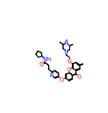 Cc1cc(OCCN2CC(C)N(C)C(C)C2)c2oc3cc(Oc4ccc(CCC(=O)NC5CCCC5)nc4)ccc3c(=O)c2c1